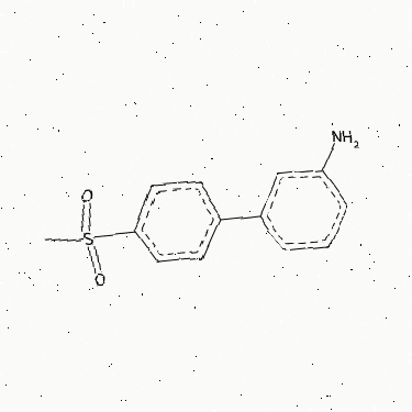 CS(=O)(=O)c1ccc(-c2cccc(N)c2)cc1